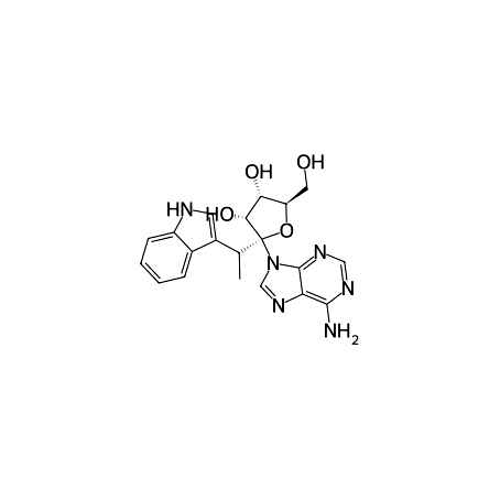 CC(c1c[nH]c2ccccc12)[C@@]1(n2cnc3c(N)ncnc32)O[C@H](CO)[C@@H](O)[C@H]1O